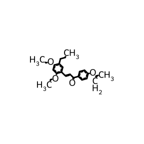 C=C(C)Oc1ccc(C(=O)C=Cc2cc(CCC)c(OCC)cc2OCC)cc1